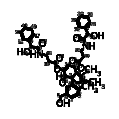 Cc1ccc(CO)c2c1[C@]13CCN(C)[C@H](C)[C@]1(OC(=O)CCNC(=O)[C@@H](O)c1ccccc1)CC=C(OC(=O)CCNC(=O)[C@@H](O)c1ccccc1)[C@@H]3O2